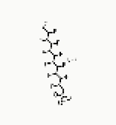 O=S(=O)([O-])CC(F)C(F)C(F)C(F)C(F)C(F)C(F)C(F)C(F)C(F)CF.[Na+]